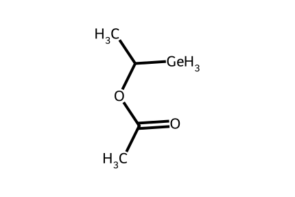 CC(=O)O[CH](C)[GeH3]